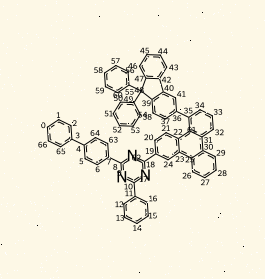 c1ccc(-c2ccc(-c3nc(-c4ccccc4)nc(-c4ccc5c(c4)c4ccccc4c4cccc(-c6ccc7c(c6)-c6ccccc6C7(c6ccccc6)c6ccccc6)c45)n3)cc2)cc1